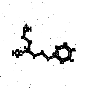 CN(CCO)CCCc1ccccc1